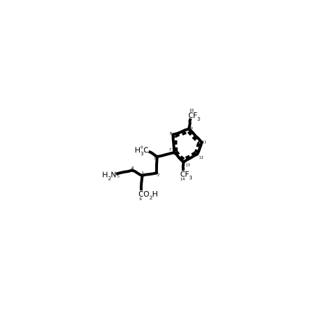 CC(CC(CN)C(=O)O)c1cc(C(F)(F)F)ccc1C(F)(F)F